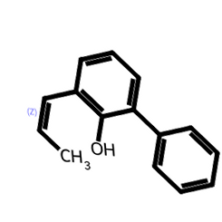 C/C=C\c1cccc(-c2ccccc2)c1O